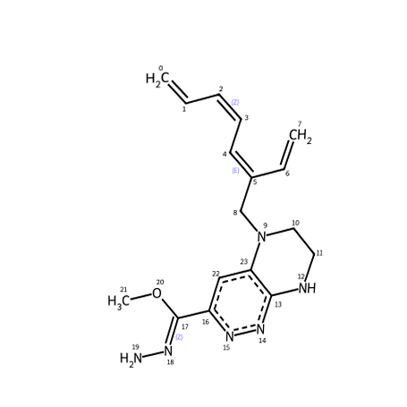 C=C/C=C\C=C(/C=C)CN1CCNc2nnc(/C(=N/N)OC)cc21